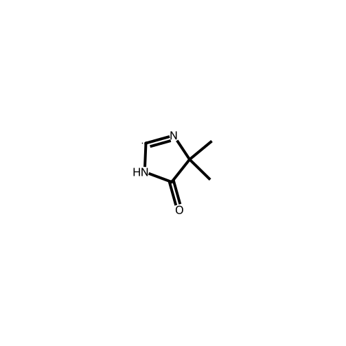 CC1(C)N=[C]NC1=O